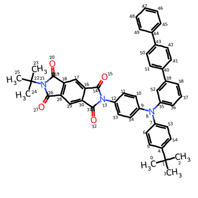 CC(C)(C)c1ccc(N(c2ccc(-n3c(=O)c4cc5c(=O)n(C(C)(C)C)c(=O)c5cc4c3=O)cc2)c2cccc(-c3ccc(-c4ccccc4)cc3)c2)cc1